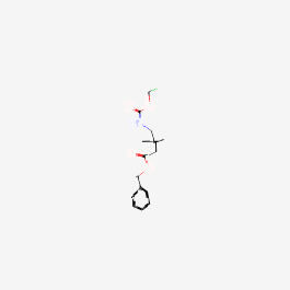 CC(C)(CNC(=O)OCCl)CC(=O)OCc1ccccc1